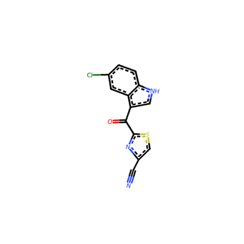 N#Cc1csc(C(=O)c2c[nH]c3ccc(Cl)cc23)n1